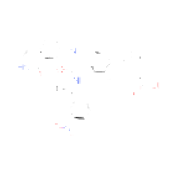 Cc1cc(C(Nc2ccc3cc[nH]c(=O)c3c2)C(=O)N[C@H](C)c2cccc([N+](=O)[O-])c2)ccc1[C@@H](C)CCC(=O)O